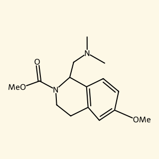 COC(=O)N1CCc2cc(OC)ccc2C1CN(C)C